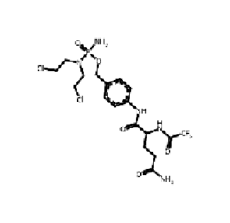 NC(=O)CCC(NC(=O)C(F)(F)F)C(=O)Nc1ccc(COP(N)(=O)N(CCCl)CCCl)cc1